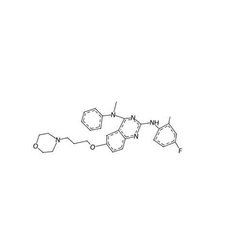 Cc1cc(F)ccc1Nc1nc(N(C)c2ccccc2)c2cc(OCCCN3CCOCC3)ccc2n1